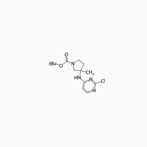 CC1(Nc2ccnc(Cl)n2)CCN(C(=O)OC(C)(C)C)C1